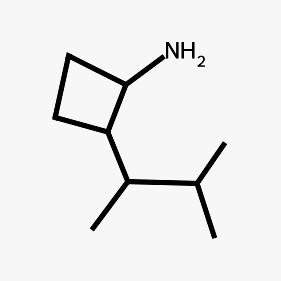 CC(C)C(C)C1CCC1N